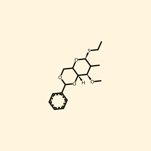 CCS[C@@H]1OC2COC(c3ccccc3)O[C@H]2[C@H](OC)C1C